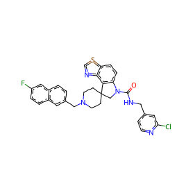 O=C(NCc1ccnc(Cl)c1)N1CC2(CCN(Cc3ccc4cc(F)ccc4c3)CC2)c2c1ccc1scnc21